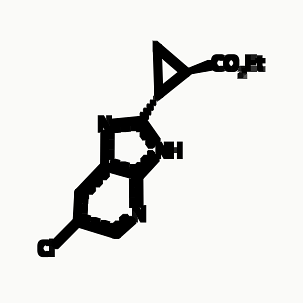 CCOC(=O)[C@@H]1C[C@H]1c1nc2cc(Cl)cnc2[nH]1